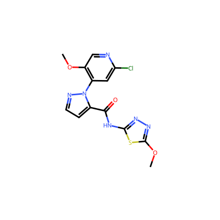 COc1nnc(NC(=O)c2ccnn2-c2cc(Cl)ncc2OC)s1